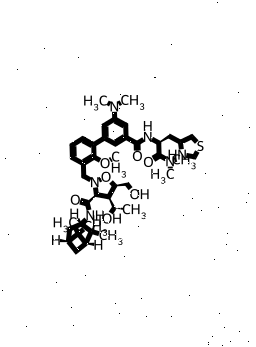 COc1c(CN2O[C@@H](CO)[C@@H]([C@H](C)O)[C@H]2C(=O)N[C@H]2C[C@H]3C[C@@H]([C@@H]2C)C3(C)C)cccc1-c1cc(C(=O)N[C@@H](CC2CSCN2)C(=O)N(C)C)cc(N(C)C)c1